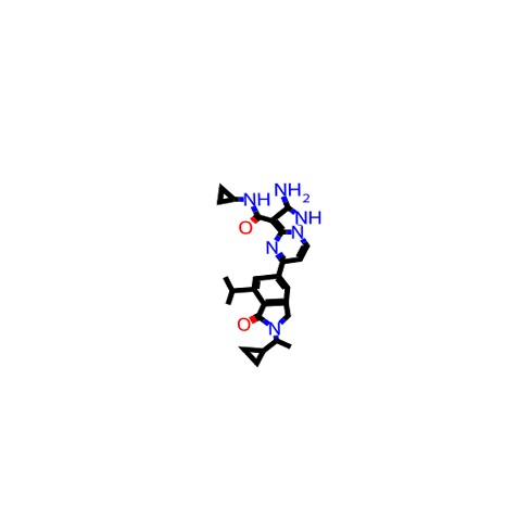 CC(C)c1cc(C2=NC3=C(C(=O)NC4CC4)C(N)NN3C=C2)cc2c1C(=O)N(C(C)C1CC1)C2